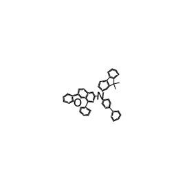 CC1(C)c2ccccc2-c2ccc(N(c3ccc(-c4ccccc4)cc3)c3cc(-c4ccccc4)c4c(ccc5c6ccccc6oc54)c3)cc21